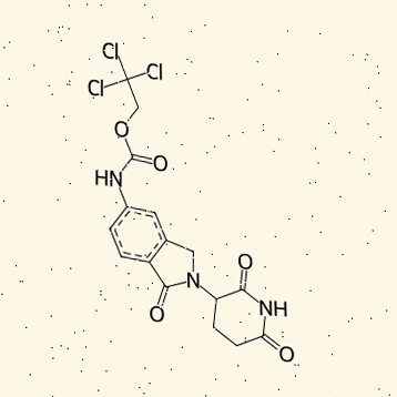 O=C1CCC(N2Cc3cc(NC(=O)OCC(Cl)(Cl)Cl)ccc3C2=O)C(=O)N1